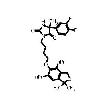 CCCc1cc2c(c(CCC)c1OCCCCN1C(=O)NC(C)(c3ccc(F)c(F)c3)C1=O)COC2(C(F)(F)F)C(F)(F)F